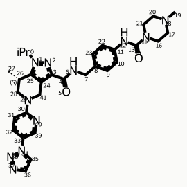 CC(C)n1nc(C(=O)NCc2ccc(NC(=O)N3CCN(C)CC3)cc2)c2c1[C@@H](C)CN(c1ccc(-n3ccnn3)cn1)C2